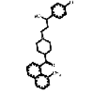 Cc1cccc2cccc(C(=O)C3CCN(CCC(O)c4ccc(Cl)cc4)CC3)c12